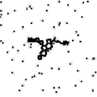 COCOC1CC2=CC(=O)CCC2(C)C2CCC3(C)C(C(C)CCCC(C)C)CCC3C12